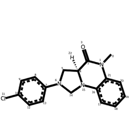 CN1C(=O)[C@@H]2CN(c3ccc(Cl)cc3)CN2c2ccccc21